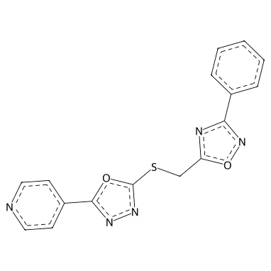 c1ccc(-c2noc(CSc3nnc(-c4ccncc4)o3)n2)cc1